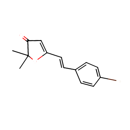 CC1(C)OC(C=Cc2ccc(Br)cc2)=CC1=O